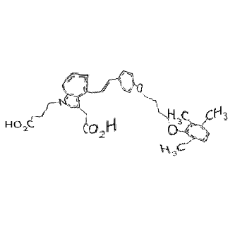 Cc1ccc(C)c(OCCCCOc2ccc(C=Cc3cccc4c3c(CC(=O)O)cn4CCCC(=O)O)cc2)c1C